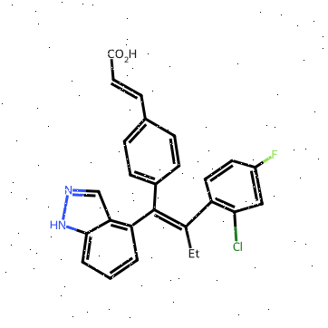 CC/C(=C(/c1ccc(/C=C/C(=O)O)cc1)c1cccc2[nH]ncc12)c1ccc(F)cc1Cl